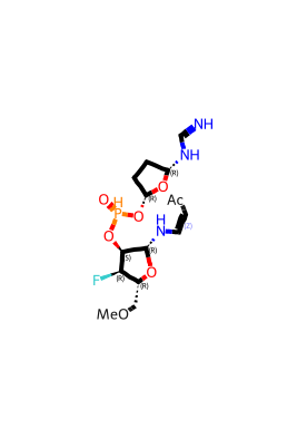 COC[C@H]1O[C@@H](N/C=C\C(C)=O)[C@H](O[PH](=O)O[C@@H]2CC[C@H](NC=N)O2)[C@@H]1F